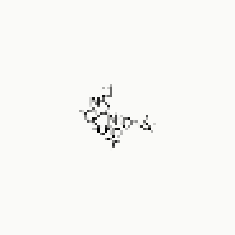 Cc1csc2c(N(COCC[Si](C)(C)C)C(=O)OC(C)(C)C)cc(Cl)nc12